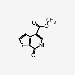 COC(=O)c1c[nH]c(=O)c2sccc12